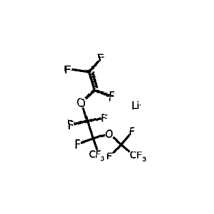 FC(F)=C(F)OC(F)(F)C(F)(OC(F)(F)C(F)(F)F)C(F)(F)F.[Li]